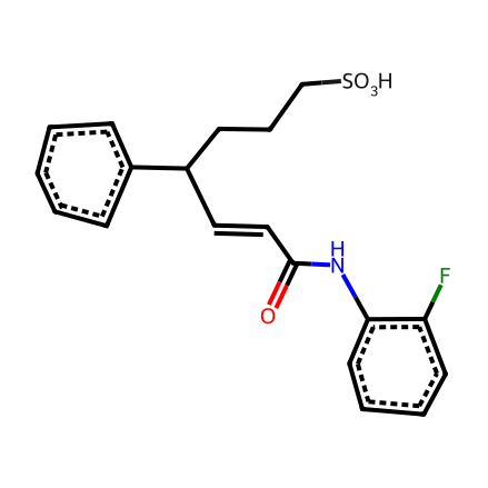 O=C(C=CC(CCCS(=O)(=O)O)c1ccccc1)Nc1ccccc1F